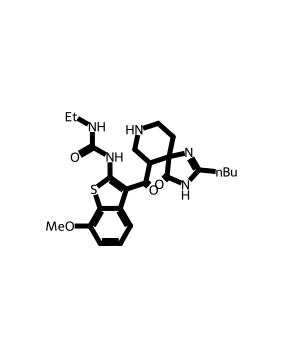 CCCCC1=NC2(CCNCC2C(=O)c2c(NC(=O)NCC)sc3c(OC)cccc23)C(=O)N1